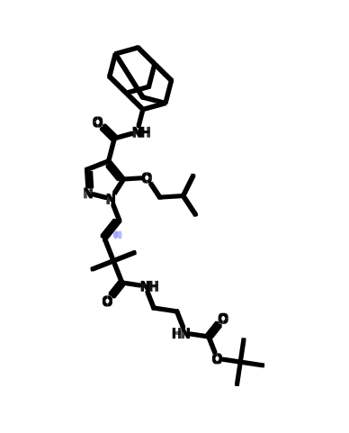 CC(C)COc1c(C(=O)NC2C3CC4CC(C3)CC2C4)cnn1/C=C/C(C)(C)C(=O)NCCNC(=O)OC(C)(C)C